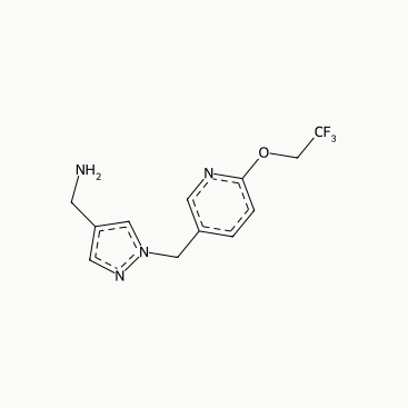 NCc1cnn(Cc2ccc(OCC(F)(F)F)nc2)c1